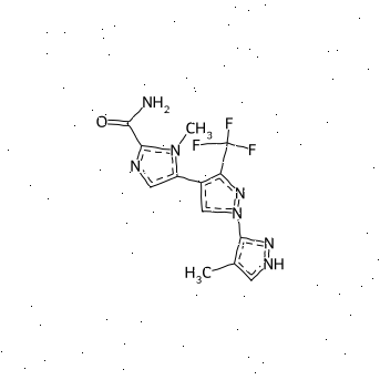 Cc1c[nH]nc1-n1cc(-c2cnc(C(N)=O)n2C)c(C(F)(F)F)n1